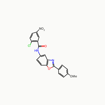 COc1ccc(-c2nc3cc(NC(=O)c4cc([N+](=O)[O-])ccc4Cl)ccc3o2)cc1